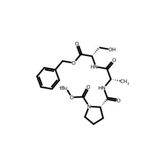 C[C@H](NC(=O)[C@@H]1CCCN1C(=O)OC(C)(C)C)C(=O)N[C@@H](CO)C(=O)OCc1ccccc1